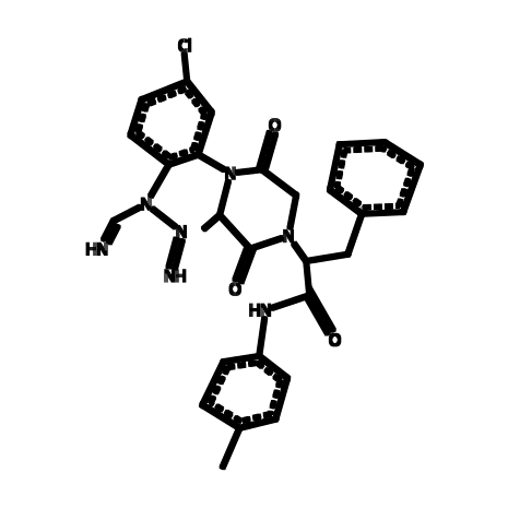 Cc1ccc(NC(=O)C(Cc2ccccc2)N2CC(=O)N(c3cc(Cl)ccc3N(C=N)N=N)C(C)C2=O)cc1